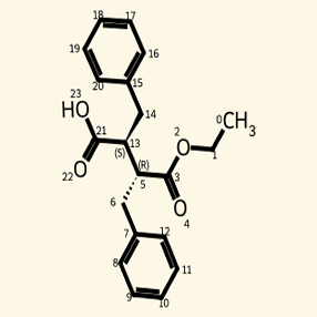 CCOC(=O)[C@H](Cc1ccccc1)[C@H](Cc1ccccc1)C(=O)O